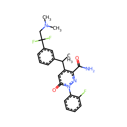 CC(c1cccc(C(F)(F)CN(C)C)c1)c1cc(=O)n(-c2ccccc2F)nc1C(N)=O